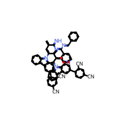 C=C(/C=C(\C(=C)/C(=C/C=N\C)C(C)n1c2ccccc2c2cc(-c3ccc(C#N)cc3C#N)ccc21)n1c2ccccc2c2cc(-c3ccc(C#N)cc3C#N)ccc21)C(=N)/N=C(\N=C\c1ccccc1)c1ccccc1